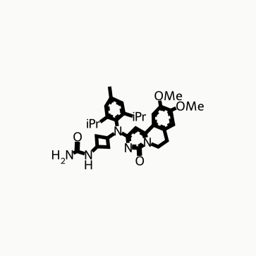 COc1cc2c(cc1OC)-c1cc(N(c3c(C(C)C)cc(C)cc3C(C)C)C3CC(NC(N)=O)C3)nc(=O)n1CC2